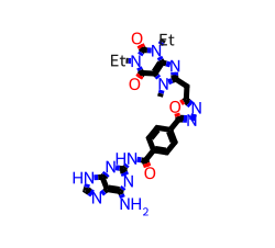 CCn1c(=O)c2c(nc(Cc3nnc(-c4ccc(C(=O)Nc5nc(N)c6nc[nH]c6n5)cc4)o3)n2C)n(CC)c1=O